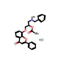 CCCN(Cc1ccccc1)CC(COc1cccc2c(=O)cc(-c3ccccc3)oc12)OC(=O)C(C)(C)C.Cl